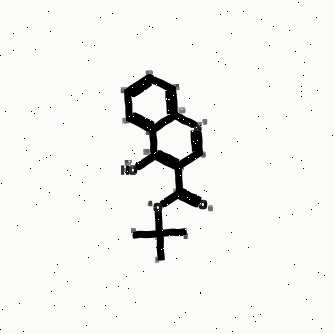 CC(C)(C)OC(=O)c1cnc2ccccc2c1O